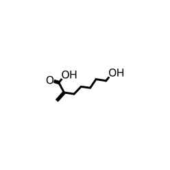 C=C(CCCCCO)C(=O)O